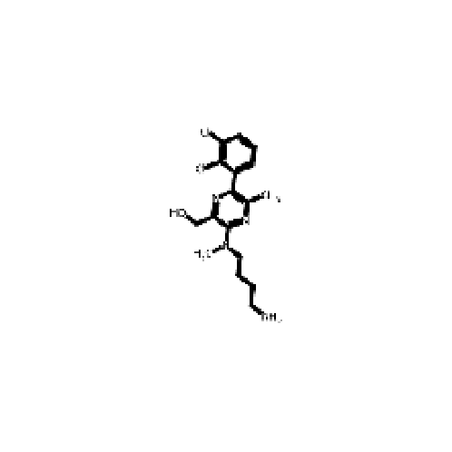 Cc1nc(N(C)CCCCN)c(CO)nc1-c1cccc(Cl)c1Cl